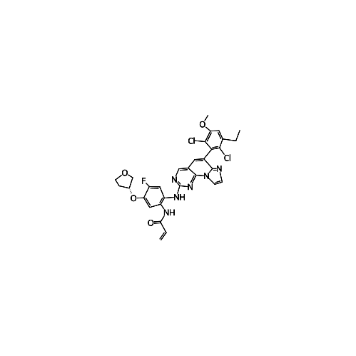 C=CC(=O)Nc1cc(O[C@@H]2CCOC2)c(F)cc1Nc1ncc2cc(-c3c(Cl)c(CC)cc(OC)c3Cl)c3nccn3c2n1